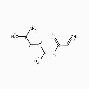 C=CC(=O)OC(C)OCC(C)N